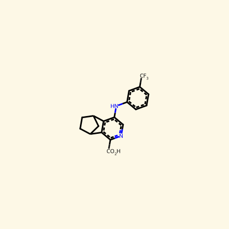 O=C(O)c1ncc(Nc2cccc(C(F)(F)F)c2)c2c1C1CCC2C1